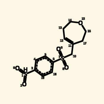 O=[SH](=O)c1ccc(S(=O)(=O)CC2=CCCOCC2)cc1